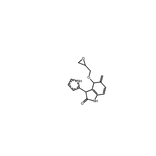 C=C1C=CC2=C(C1OCC1CO1)C(c1ccc[nH]1)C(=O)N2